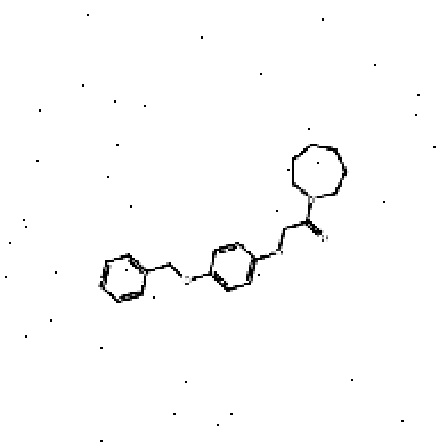 O=C(COc1ccc(OCc2ccccc2)cc1)N1CCCCCC1